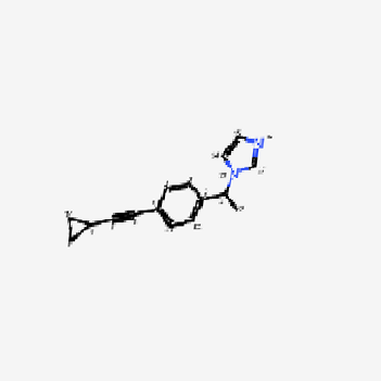 CC(c1ccc(C#CC2CC2)cc1)n1ccnc1